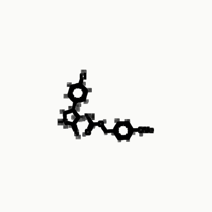 COc1ccc(COC(=O)N[C@@H]2C(=S)NC[C@H]2c2ccc(Cl)cc2)cc1